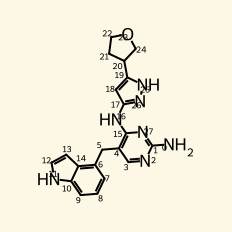 Nc1ncc(Cc2cccc3[nH]ccc23)c(Nc2cc(C3CCOC3)[nH]n2)n1